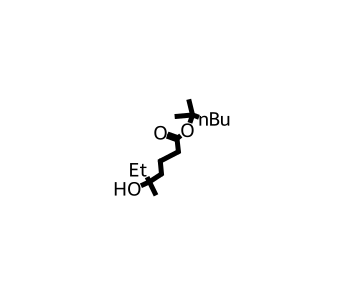 CCCCC(C)(C)OC(=O)CCCC(C)(O)CC